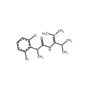 CCc1cccc(Cl)c1N(C)C(=O)NC(N(C)C)=[N+](C)C